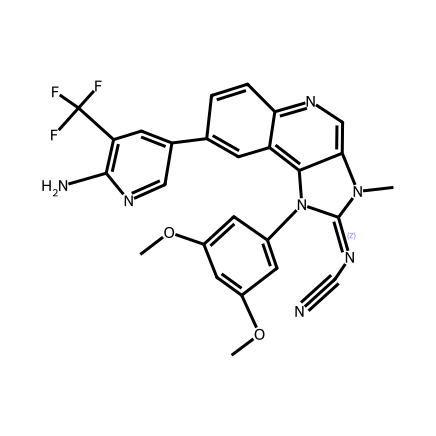 COc1cc(OC)cc(-n2/c(=N\C#N)n(C)c3cnc4ccc(-c5cnc(N)c(C(F)(F)F)c5)cc4c32)c1